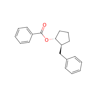 O=C(O[C@@H]1CCC[C@H]1Cc1ccccc1)c1ccccc1